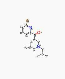 CC(C)CN(CCC(=O)c1cccc(Br)n1)CC(C)C